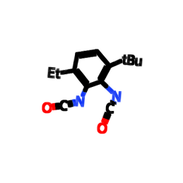 CCc1ccc(C(C)(C)C)c(N=C=O)c1N=C=O